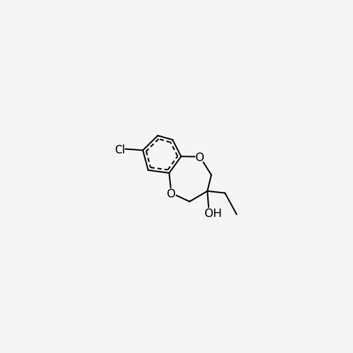 CCC1(O)COc2ccc(Cl)cc2OC1